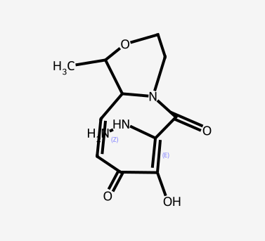 CC1OCCN2C(=O)/C(NN)=C(\O)C(=O)/C=C\C12